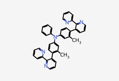 Cc1cc(N(c2ccccc2)c2ccc(-c3cccnc3-c3ccccn3)c(C)c2)ccc1-c1cccnc1-c1ccccn1